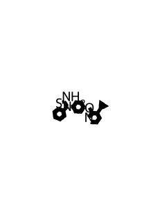 NC1Sc2ccccc2N1c1ccc(Oc2ncccc2C2CC2)cc1